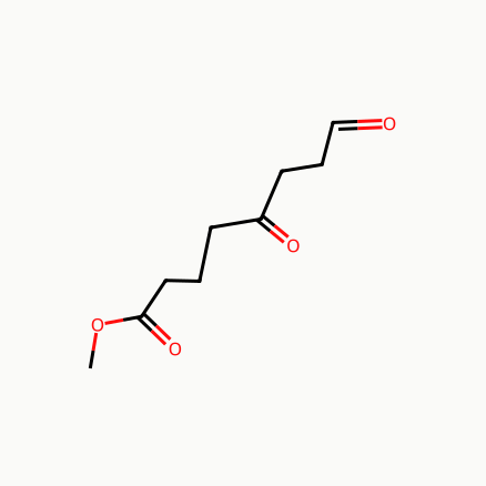 COC(=O)CCCC(=O)CCC=O